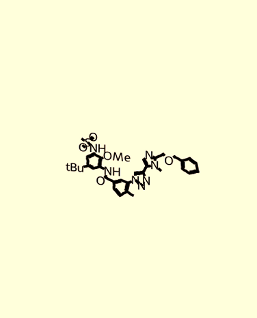 COc1c(NC(=O)c2ccc(C)c(-n3cc(-c4cnc(COCc5ccccc5)n4C)nn3)c2)cc(C(C)(C)C)cc1NS(C)(=O)=O